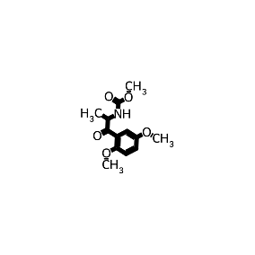 COC(=O)NC(C)C(=O)c1cc(OC)ccc1OC